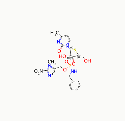 Cc1ccn([C@@H]2S[C@H](CO)[C@@H](OP(=O)(NCc3ccccc3)OCc3cnc([N+](=O)[O-])n3C)[C@@H]2O)c(=O)n1